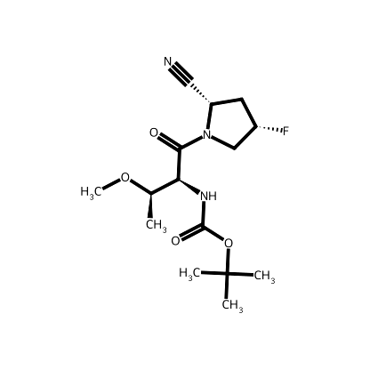 CO[C@H](C)[C@H](NC(=O)OC(C)(C)C)C(=O)N1C[C@@H](F)C[C@H]1C#N